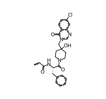 C=CC(=O)N[C@@H](Cc1ccccc1)C(=O)N1CCC(O)(Cn2cnc3cc(Cl)ccc3c2=O)CC1